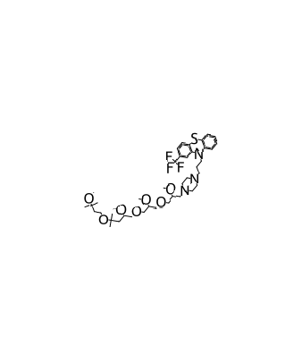 COC(COCC(CN1CCN(CCCN2c3ccccc3Sc3ccc(C(F)(F)F)cc32)CC1)OC)COCC(CC(C)(C)OCCC(C)(C)OC)OC